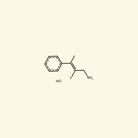 C/C(=C(/F)CN)c1ccccc1.Cl